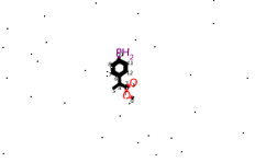 COC(=O)C(C)c1ccc(P)cc1